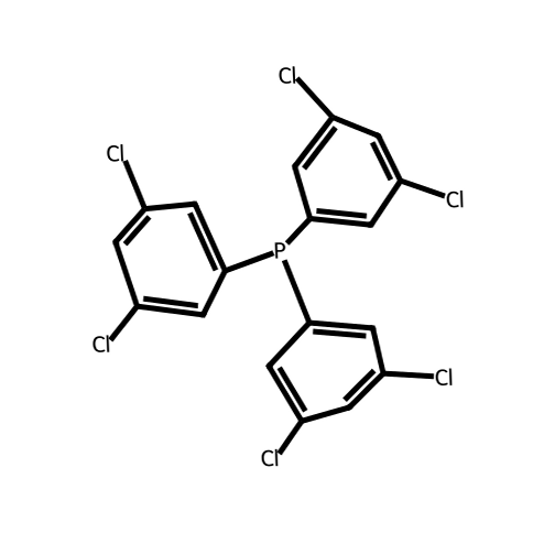 Clc1cc(Cl)cc(P(c2cc(Cl)cc(Cl)c2)c2cc(Cl)cc(Cl)c2)c1